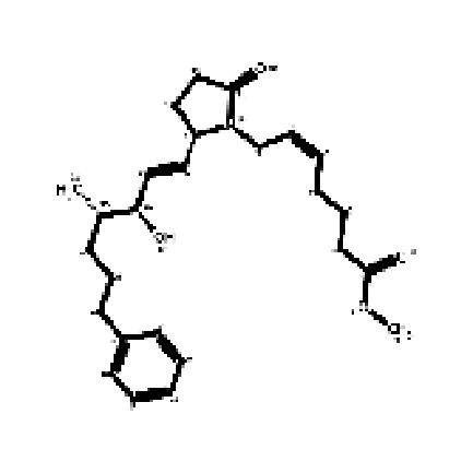 COC(=O)CCC/C=C\CN1C(=O)CC[C@@H]1/C=C/[C@@H](O)[C@@H](C)CCCc1ccccc1